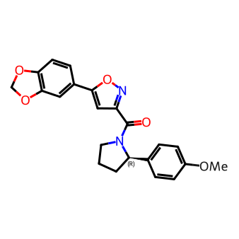 COc1ccc([C@H]2CCCN2C(=O)c2cc(-c3ccc4c(c3)OCO4)on2)cc1